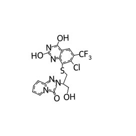 O=c1n(C(CO)CSc2c(Cl)c(C(F)(F)F)cc3c(O)nc(O)nc23)nc2ccccn12